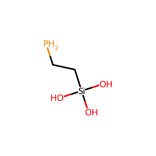 O[Si](O)(O)CCP